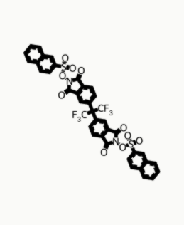 O=C1c2ccc(C(c3ccc4c(c3)C(=O)N(OS(=O)(=O)c3ccc5ccccc5c3)C4=O)(C(F)(F)F)C(F)(F)F)cc2C(=O)N1OS(=O)(=O)c1ccc2ccccc2c1